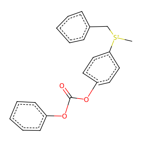 C[S+](Cc1ccccc1)c1ccc(OC(=O)Oc2ccccc2)cc1